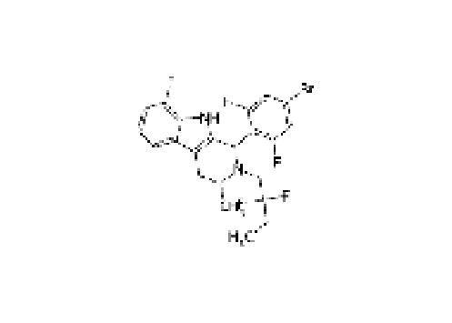 CCC(F)(F)CN1C(C)Cc2c([nH]c3c(F)cccc23)C1c1c(F)cc(Br)cc1F